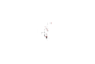 Cc1ccc(COc2ccc(Oc3c(C)cc(/C=C/C(=O)N4CCN(Cc5ccc(CCOc6ccc(F)cc6)c(C)c5)CC4)cc3Cl)nc2)cc1.Cl